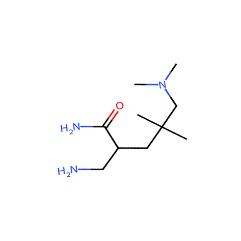 CN(C)CC(C)(C)CC(CN)C(N)=O